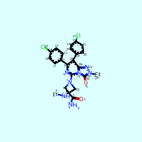 CCNC1(C(N)=O)CN(c2nc(-c3ccc(Cl)cc3)c(-c3ccc(Cl)cc3)c3nn(CC)c(=O)n23)C1